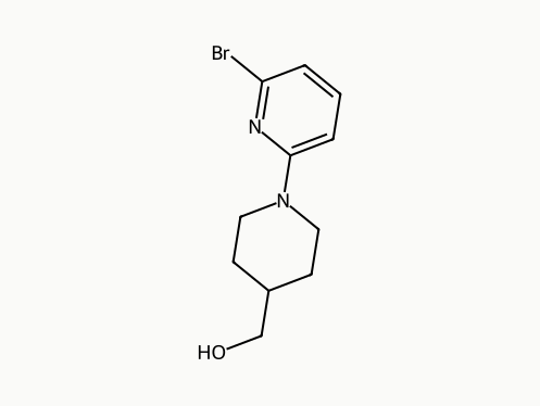 OCC1CCN(c2cccc(Br)n2)CC1